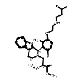 COC(=O)[C@@H](C)CN1[C@H](c2c(F)ccc(OCCNCCC(F)F)c2C)c2[nH]c3ccccc3c2C[C@H]1C